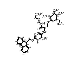 CC(=O)OC[C@H]1O[C@@H](OC[C@H](NC(=O)[C@@H](NC(=O)OCC2c3ccccc3-c3ccccc32)C(C)C)C(=O)NCOCC(=O)O)[C@H](OC(C)=O)[C@@H](OC(C)=O)[C@H]1OC(C)=O